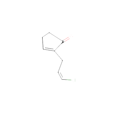 O=C1CCC=C1C/C=C\Cl